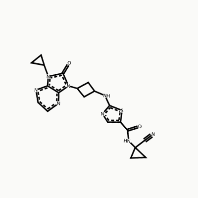 N#CC1(NC(=O)c2cnc(NC3CC(n4c(=O)n(C5CC5)c5nccnc54)C3)s2)CC1